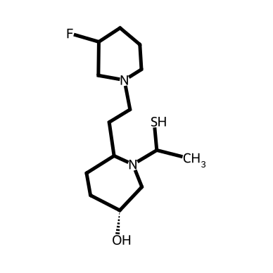 CC(S)N1C[C@H](O)CCC1CCN1CCCC(F)C1